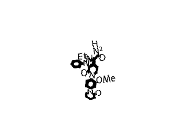 CCc1ccccc1-n1nc(C(N)=O)c2c1C(=O)N(c1ccc(N3CCCCC3=O)cc1OC)CC2